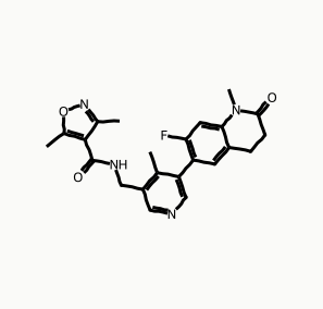 Cc1noc(C)c1C(=O)NCc1cncc(-c2cc3c(cc2F)N(C)C(=O)CC3)c1C